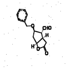 O=C[C@@H]1[C@H]2CC(=O)O[C@H]2C[C@H]1OCc1ccccc1